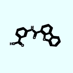 O=C(O)c1cccc(NC(=O)c2cccc3c2oc2ccccc23)c1